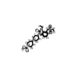 CCn1c(=O)n(C2CCN(C3CCN(C(=O)OC)CC3)CC2)c2cccc(CS(=O)(=O)CC)c21